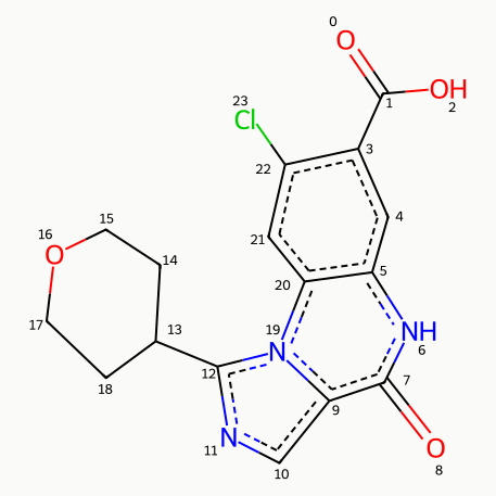 O=C(O)c1cc2[nH]c(=O)c3cnc(C4CCOCC4)n3c2cc1Cl